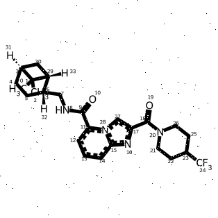 CC1(C)[C@H]2CC[C@@H](CNC(=O)c3cccc4nc(C(=O)N5CCC(C(F)(F)F)CC5)cn34)[C@H]1C2